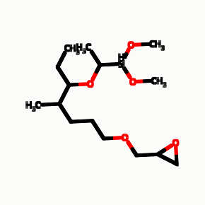 CCC(OC(C)[SiH](OC)OC)C(C)CCCOCC1CO1